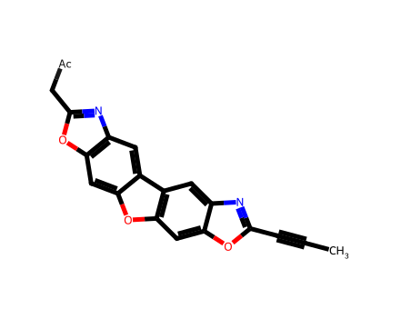 CC#Cc1nc2cc3c(cc2o1)oc1cc2oc(CC(C)=O)nc2cc13